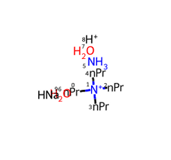 CCC[N+](CCC)(CCC)CCC.N.O.O.[H+].[NaH]